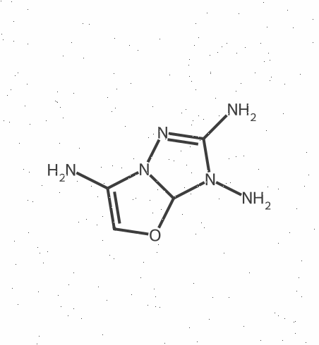 NC1=COC2N(N)C(N)=NN12